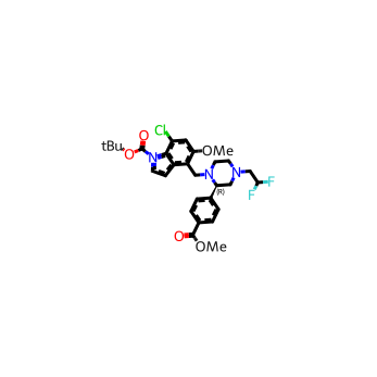 COC(=O)c1ccc([C@@H]2CN(CC(F)F)CCN2Cc2c(OC)cc(Cl)c3c2ccn3C(=O)OC(C)(C)C)cc1